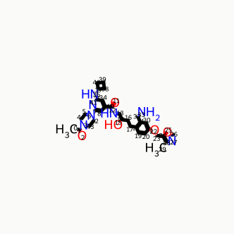 CC(=O)N1CCN(c2cc(C(=O)NC[C@@H](O)CCc3ccc(OCc4ocnc4C)cc3CN)cc(NC3CCC3)n2)CC1